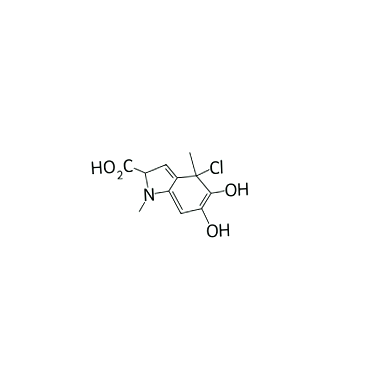 CN1C2=CC(O)=C(O)C(C)(Cl)C2=CC1C(=O)O